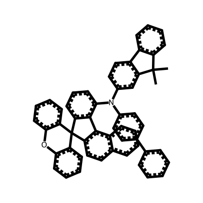 CC1(C)c2ccccc2-c2ccc(N(c3ccc(-c4ccccc4)cc3)c3cccc4c3-c3c(ccc5ccccc35)C43c4ccccc4Oc4ccccc43)cc21